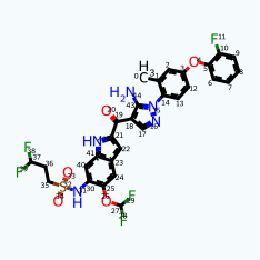 Cc1cc(Oc2ccccc2F)ccc1-n1ncc(C(=O)c2cc3cc(OC(F)F)c(NS(=O)(=O)CCC(F)F)cc3[nH]2)c1N